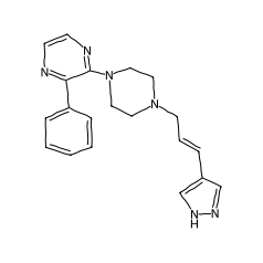 C(=Cc1cn[nH]c1)CN1CCN(c2nccnc2-c2ccccc2)CC1